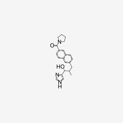 CC(Cc1ccc2cc(C(=O)N3CCCC3)ccc2c1)C(O)c1c[nH]cn1